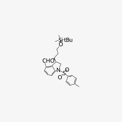 Cc1ccc(S(=O)(=O)N2C[C@H](CCCO[Si](C)(C)C(C)(C)C)c3c(C=O)cccc32)cc1